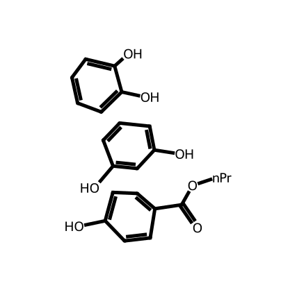 CCCOC(=O)c1ccc(O)cc1.Oc1cccc(O)c1.Oc1ccccc1O